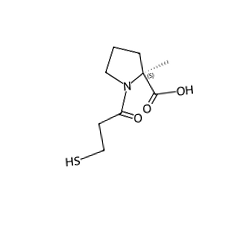 C[C@@]1(C(=O)O)CCCN1C(=O)CCS